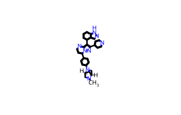 CN1C[C@@H]2C[C@H]1CN2c1ccc(-c2ccnc3c(-c4cccc5[nH]ncc45)c(-c4ccncc4)nn23)cc1